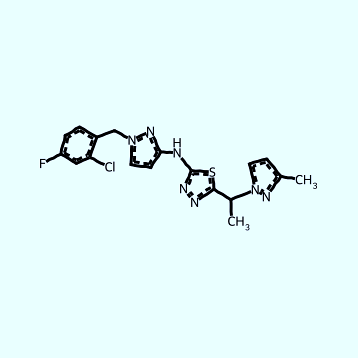 Cc1ccn(C(C)c2nnc(Nc3ccn(Cc4ccc(F)cc4Cl)n3)s2)n1